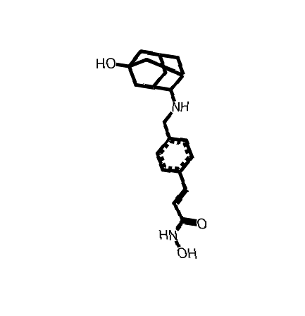 O=C(C=Cc1ccc(CNC2C3CC4CC2CC(O)(C4)C3)cc1)NO